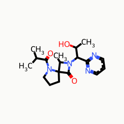 CC(C)C(=O)N1CCCC12C(=O)N(C(c1ncccn1)C(C)O)C2C